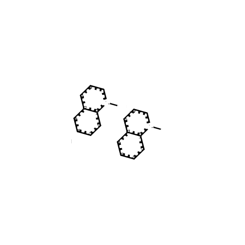 C[n+]1cccc2ccccc21.C[n+]1cccc2ccccc21.I